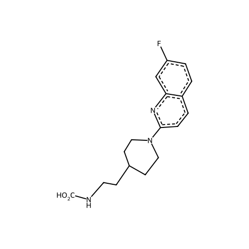 O=C(O)NCCC1CCN(c2ccc3ccc(F)cc3n2)CC1